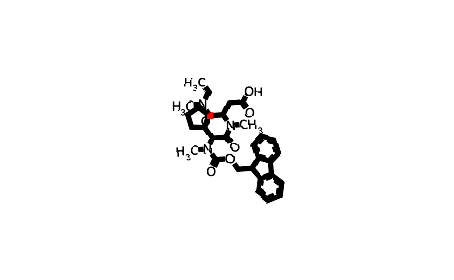 CCN(C)C(=O)C(CC(=O)O)N(C)C(=O)C(C1CCCC1)N(C)C(=O)OCC1c2ccccc2-c2ccccc21